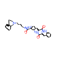 O=C(NCCCCN1CCc2ccccc2C1)c1ccc(/C=c2\[nH]c(=O)/c(=C/c3ccccc3)[nH]c2=O)cc1